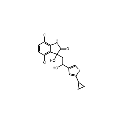 O=C1Nc2c(Cl)ccc(Cl)c2C1(O)CC(O)c1csc(C2CC2)c1